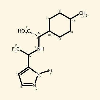 CCn1nccc1C(N[C@H](C(=O)O)C1CCC(C)CC1)C(F)(F)F